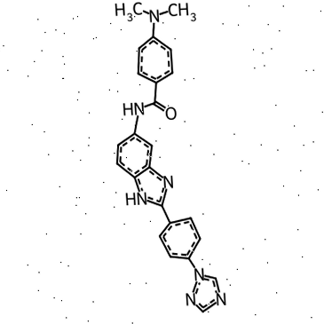 CN(C)c1ccc(C(=O)Nc2ccc3[nH]c(-c4ccc(-n5cncn5)cc4)nc3c2)cc1